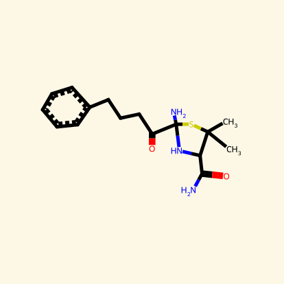 CC1(C)SC(N)(C(=O)CCCc2ccccc2)NC1C(N)=O